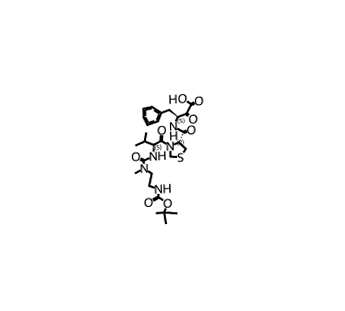 CC(C)[C@H](NC(=O)N(C)CCNC(=O)OC(C)(C)C)C(=O)N1CSC[C@H]1C(=O)N[C@@H](Cc1ccccc1)C(=O)C(=O)O